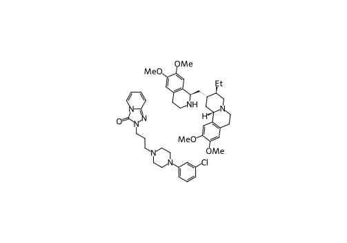 CC[C@H]1CN2CCc3cc(OC)c(OC)cc3[C@@H]2C[C@@H]1C[C@H]1NCCc2cc(OC)c(OC)cc21.O=c1n(CCCN2CCN(c3cccc(Cl)c3)CC2)nc2ccccn12